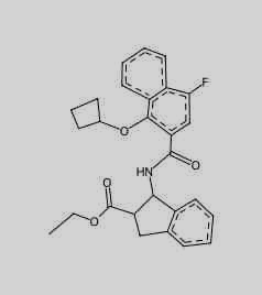 CCOC(=O)C1Cc2ccccc2C1NC(=O)c1cc(F)c2ccccc2c1OC1CCC1